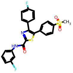 CS(=O)(=O)c1ccc(-c2sc(C(=O)Nc3cccc(F)c3)nc2-c2ccc(F)cc2)cc1